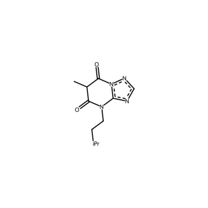 CC(C)CCN1C(=O)C(C)C(=O)n2ncnc21